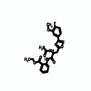 BC(=O)NC(Cc1nc(-c2ccc(F)c(OC)c2)no1)C(=O)Nc1ccccc1C(=O)OCC